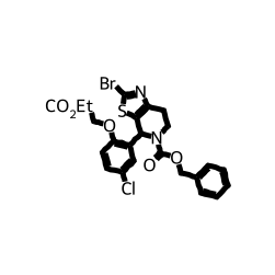 CCOC(=O)COc1ccc(Cl)cc1C1c2sc(Br)nc2CCN1C(=O)OCc1ccccc1